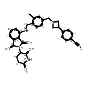 Cc1cc(CN2CC(c3ccc(C#N)cc3)C2)ccc1CNc1cccc2c1C(=O)N(C1CCC(=O)NC1=O)C2=O